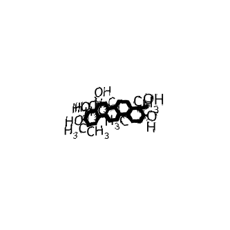 CC1(C)CC2C3=CCC4[C@@]5(C)CC[C@H](O)[C@](C)(CO)C5CC[C@@]4(C)[C@]3(C)C[C@@H](CO)[C@@]2(C)[C@@H](O)[C@@H]1O